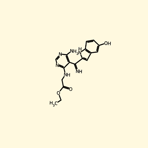 CCOC(=O)CNc1ncnc(N)c1C(=N)c1cc2cc(O)ccc2[nH]1